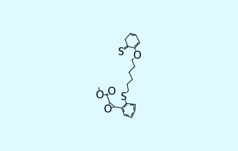 COC(=O)C1OC1c1ccccc1SCCCCCCOC1=CC=CCC1=S